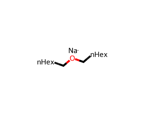 CCCCCCCOCCCCCCC.[Na]